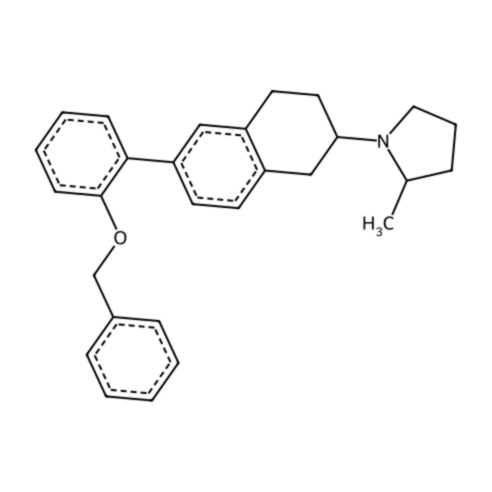 CC1CCCN1C1CCc2cc(-c3ccccc3OCc3ccccc3)ccc2C1